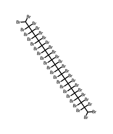 Br[C](Br)C(Br)(Br)C(Br)(Br)C(Br)(Br)C(Br)(Br)C(Br)(Br)C(Br)(Br)C(Br)(Br)C(Br)(Br)C(Br)(Br)C(Br)(Br)C(Br)(Br)C(Br)(Br)C(Br)(Br)C(Br)(Br)C(Br)(Br)C(Br)(Br)C(Br)(Br)C(Br)(Br)[C](Br)Br